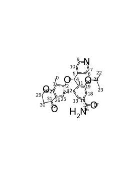 Cc1c(O[C@H](c2ccncc2)c2ccc(C(N)=O)cc2OC(C)C)ccc2c1OCCC2=O